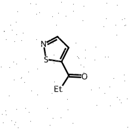 CCC(=O)c1ccns1